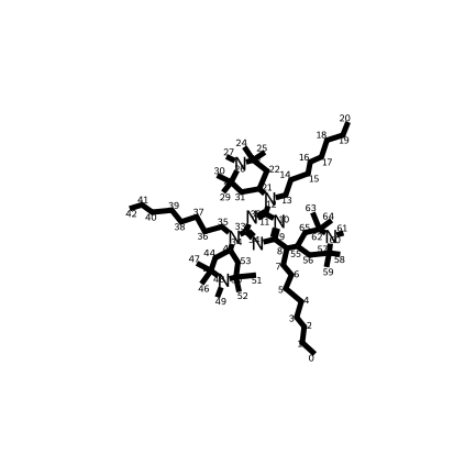 CCCCCCCCC(c1nc(N(CCCCCCCC)C2CC(C)(C)N(C)C(C)(C)C2)nc(N(CCCCCCCC)C2CC(C)(C)N(C)C(C)(C)C2)n1)C1CC(C)(C)N(C)C(C)(C)C1